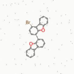 Brc1ccc(-c2cccc3c2oc2ccccc23)c2oc3ccccc3c12